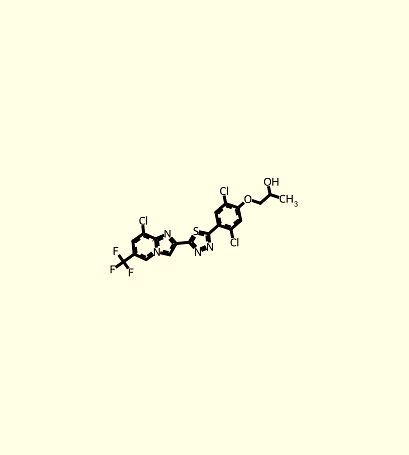 CC(O)COc1cc(Cl)c(-c2nnc(-c3cn4cc(C(F)(F)F)cc(Cl)c4n3)s2)cc1Cl